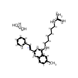 Cc1ccc2nc(/C=C/c3ccccn3)nc(NCCCCCCNC(=N)N)c2c1.Cl.Cl.Cl